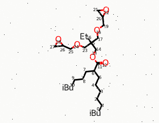 CCC(C)CCCCCC(CCCC(C)CC)C(=O)OCC(CC)(COCC1CO1)COCC1CO1